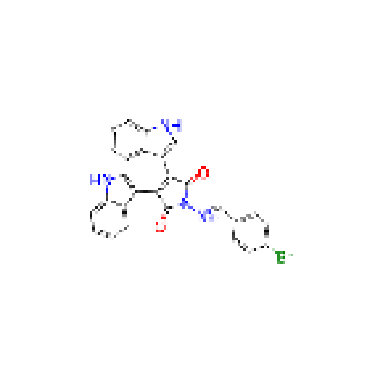 O=C1C(c2c[nH]c3ccccc23)=C(c2c[nH]c3ccccc23)C(=O)N1/N=C/c1ccc(Br)cc1